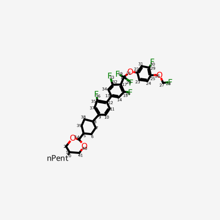 CCCCCC1COC(C2CCC(c3ccc(-c4cc(F)c(C(F)(F)Oc5ccc(OCF)c(F)c5)c(F)c4)c(F)c3)CC2)OC1